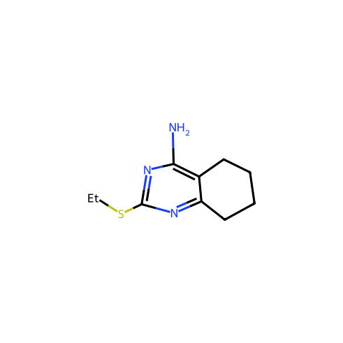 CCSc1nc(N)c2c(n1)CCCC2